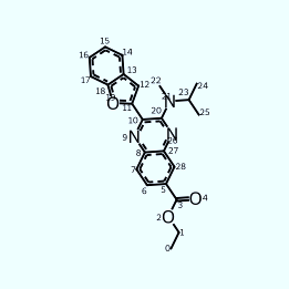 CCOC(=O)c1ccc2nc(-c3cc4ccccc4o3)c(N(C)C(C)C)nc2c1